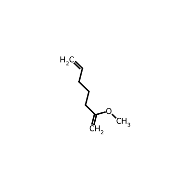 C=CCCCC(=C)OC